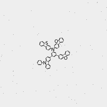 c1ccc(-n2c3ccccc3c3cc(-c4cc(-c5ccc6oc7ccccc7c6c5)cc(N(c5ccc6c(c5)oc5ccccc56)c5ccc6c(c5)sc5ccccc56)c4)ccc32)cc1